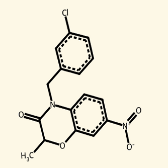 CC1Oc2cc([N+](=O)[O-])ccc2N(Cc2cccc(Cl)c2)C1=O